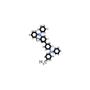 Cc1ccc(N(c2ccccc2)c2ccc(-c3ccc(N(c4ccccc4)c4ccccc4C)cc3)cc2)cc1